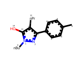 CCCCn1nc(-c2ccc(C)cc2)c(CCC)c1O